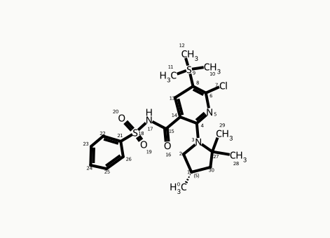 C[C@@H]1CN(c2nc(Cl)c(S(C)(C)C)cc2C(=O)NS(=O)(=O)c2ccccc2)C(C)(C)C1